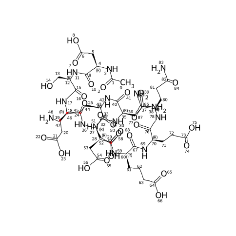 CC(=O)N[C@H](CC(=O)O)C(=O)N[C@H](CO)C(=O)N[C@H](CCC(=O)O)C(=O)N[C@H](CC(=O)O)C(=O)N[C@H](CC(N)=O)C(=O)N[C@H](CCCCN)C(=O)N[C@H](CC(=O)O)C(=O)N[C@H](CCCC(=O)O)C(=O)N[C@H](CCC(=O)O)C(=O)N[C@H](CCC(N)=O)C(N)=O